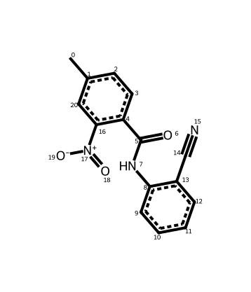 Cc1ccc(C(=O)Nc2ccccc2C#N)c([N+](=O)[O-])c1